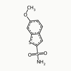 COc1ccc2cc(S(N)(=O)=O)sc2c1